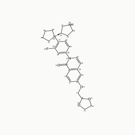 O=c1c2ccc(OCC3OCCO3)cc2ccn1-c1ccc([N+]2([C@@H]3CCNC3)CCCC2)c(F)c1